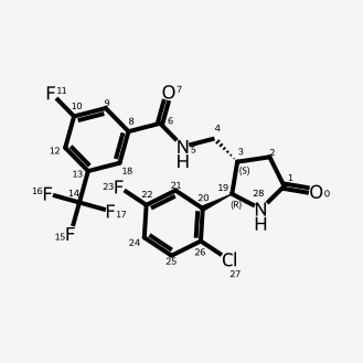 O=C1C[C@@H](CNC(=O)c2cc(F)cc(C(F)(F)F)c2)[C@H](c2cc(F)ccc2Cl)N1